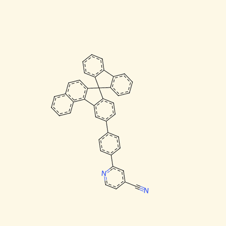 N#Cc1ccnc(-c2ccc(-c3ccc4c(c3)-c3c(ccc5ccccc35)C43c4ccccc4-c4ccccc43)cc2)c1